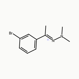 C/C(=N\N(C)C)c1cccc(Br)c1